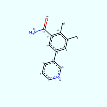 Cc1cc(-c2cccnc2)cc(C(N)=O)c1C